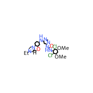 CCN1CCN2c3ccc(Nc4cc(N(C)C(=O)Nc5c(Cl)c(OC)cc(OC)c5Cl)ncn4)cc3OC[C@H]2C1